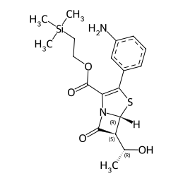 C[C@@H](O)[C@H]1C(=O)N2C(C(=O)OCC[Si](C)(C)C)=C(c3cccc(N)c3)S[C@H]12